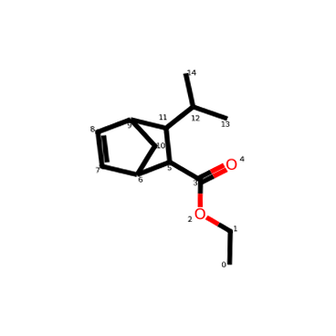 CCOC(=O)C1C2C=CC(C2)C1C(C)C